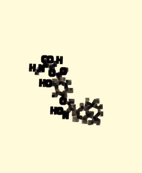 CC1(C)CCC(C)(C)c2cc(C(COc3ccc(C(=O)OCC(N)C(=O)O)c(O)c3)=NO)ccc21